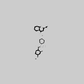 COc1ccc(C(=O)N[C@H]2CC[C@@H](CNc3cc(C(F)(F)F)nc4ccccc34)CC2)c(C)c1